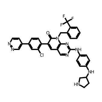 O=c1c(-c2ccc(-c3ccnnc3)cc2Cl)cc2cnc(Nc3ccc(NC4CCNC4)cc3)nc2n1Cc1ccccc1C(F)(F)F